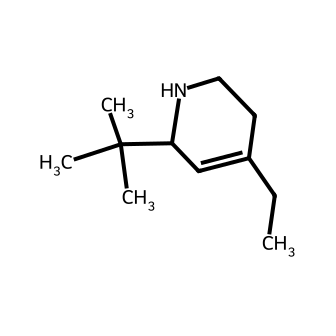 CCC1=CC(C(C)(C)C)NCC1